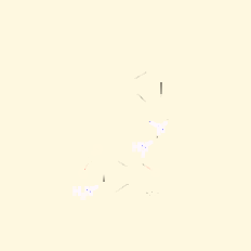 COc1cc(N)c(S(C)(=O)=O)cc1C(=O)NC12CCCC(CC1)N2Cc1ccc(F)cc1